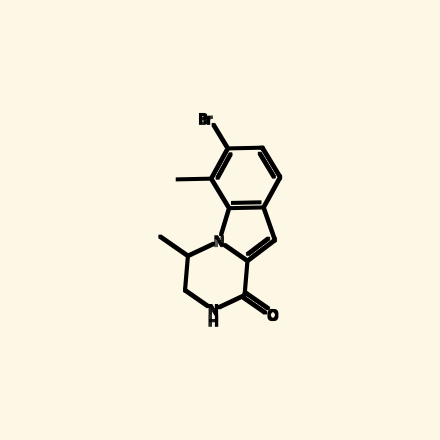 Cc1c(Br)ccc2cc3n(c12)C(C)CNC3=O